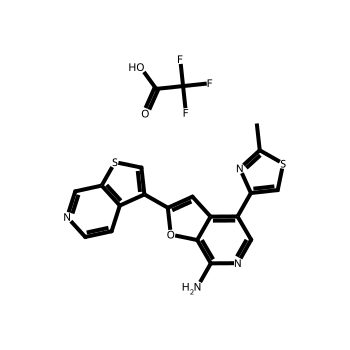 Cc1nc(-c2cnc(N)c3oc(-c4csc5cnccc45)cc23)cs1.O=C(O)C(F)(F)F